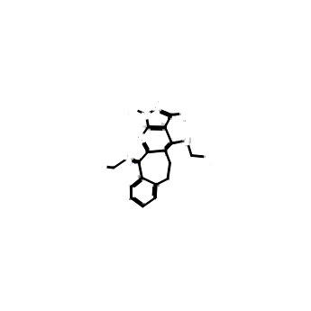 CC/N=C1\c2ccccc2CCc2c1nc1c(c(C)nn1C)c2NCC